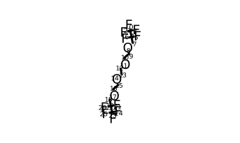 FC(F)(F)C(F)(F)COCCOCCOCCOCC(F)(F)C(F)(F)F